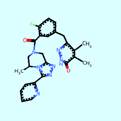 Cc1c(Cc2ccc(F)c(C(=O)N3Cc4nnc(-c5ccccn5)n4C(C)C3)c2)n[nH]c(=O)c1C